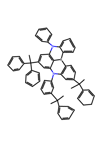 CC(C)(C1=CCCC=C1)c1ccc2c(c1)N(c1cccc(C(C)(C)c3ccccc3)c1)c1cc(C(C)(c3ccccc3)c3ccccc3)cc3c1B2c1ccccc1N3c1ccccc1